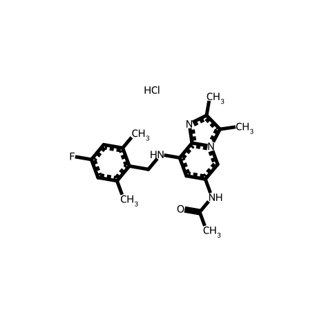 CC(=O)Nc1cc(NCc2c(C)cc(F)cc2C)c2nc(C)c(C)n2c1.Cl